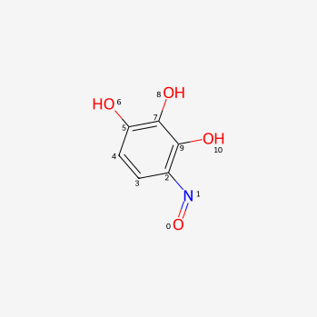 O=Nc1ccc(O)c(O)c1O